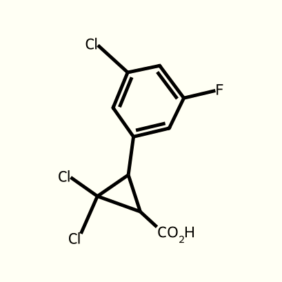 O=C(O)C1C(c2cc(F)cc(Cl)c2)C1(Cl)Cl